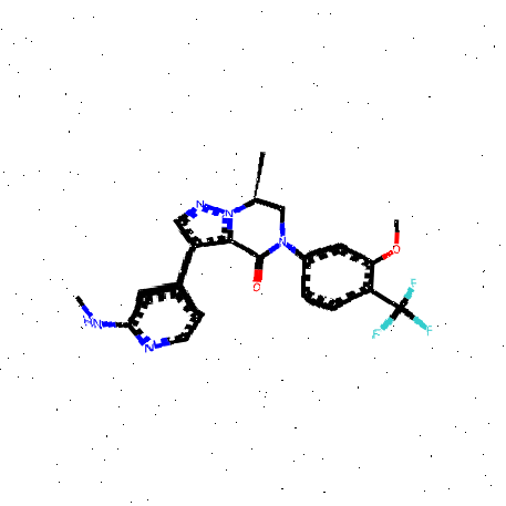 CNc1cc(-c2cnn3c2C(=O)N(c2ccc(C(F)(F)F)c(OC)c2)C[C@@H]3C)ccn1